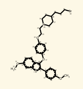 COc1ccc(-c2sc3cc(OC)ccc3c2Oc2ccc(OCCN3CCC(CCCBr)CC3)cc2)cc1